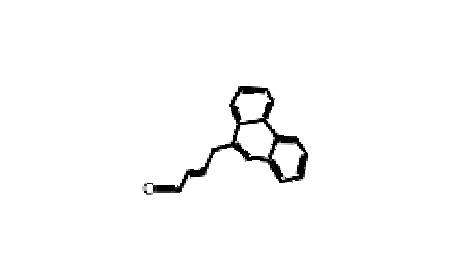 O=C/C=C/Cc1cc2ccccc2c2ccccc12